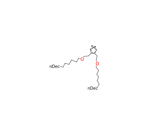 CCCCCCCCCCCCCCCCOCCc1c[se]cc1CCOCCCCCCCCCCCCCCCC